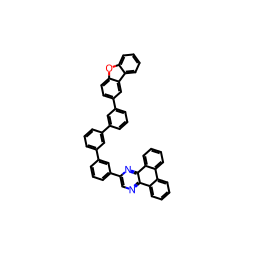 c1cc(-c2cccc(-c3ccc4oc5ccccc5c4c3)c2)cc(-c2cccc(-c3cnc4c5ccccc5c5ccccc5c4n3)c2)c1